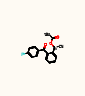 CC(C)(C)C(=O)O[C@H](C#N)c1ccccc1C(=O)c1ccc(F)cc1